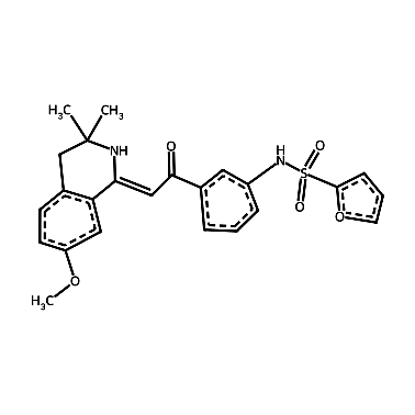 COc1ccc2c(c1)C(=CC(=O)c1cccc(NS(=O)(=O)c3ccco3)c1)NC(C)(C)C2